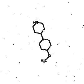 COC1CCN(C2CCNCC2)CC1